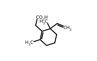 C=CC1(C)CCCC(C)=C1CC(=O)O